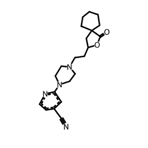 N#Cc1ccnc(N2CCN(CCC3CC4(CCCCC4)C(=O)O3)CC2)c1